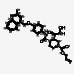 C=CCOC(=O)N1CC[C@H](C(=O)Nc2ccc(OCc3cc(C)nc4ccccc34)cc2)[C@@H](C(=O)NO)C1